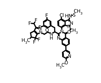 COc1ccc(-c2ccc3c(=O)n(-c4ccc(Cl)c5c(NSC)nn(C)c45)c(C(Cc4cc(F)cc(F)c4)NC(=O)Cn4nc(C(F)F)c5c4C(F)(F)C(C)C5)nc3c2)cn1